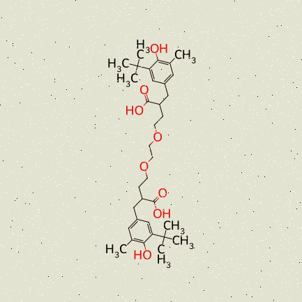 Cc1cc(CC(CCOCCOCCC(Cc2cc(C)c(O)c(C(C)(C)C)c2)C(=O)O)C(=O)O)cc(C(C)(C)C)c1O